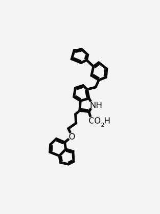 O=C(O)c1[nH]c2c(Cc3cccc(-c4ccccc4)c3)cccc2c1CCCOc1cccc2ccccc12